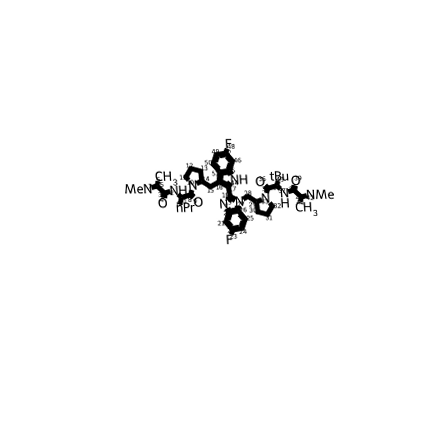 CCCC(NC(=O)C(C)NC)C(=O)N1CCCC1Cc1c(-c2nc3cc(F)ccc3n2CC2CCCN2C(=O)C(NC(=O)C(C)NC)C(C)(C)C)[nH]c2cc(F)ccc12